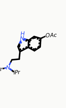 CC(=O)Oc1ccc2c(CCN(C(C)C)C(C)C)c[nH]c2c1